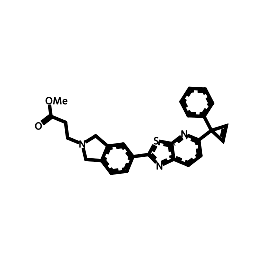 COC(=O)CCN1Cc2ccc(-c3nc4ccc(C5(c6ccccc6)C=C5)nc4s3)cc2C1